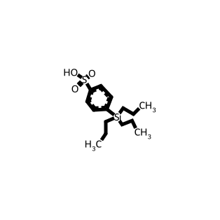 CCC[Si](CCC)(CCC)c1ccc(S(=O)(=O)O)cc1